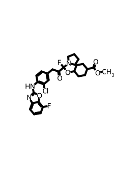 COC(=O)C1CCC(OC(F)(C(=O)Cc2ccc(Nc3nc4cccc(F)c4o3)c(Cl)c2)N2CCCC2)CC1